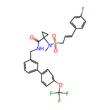 CN(C1(C(=O)NCc2cccc(-c3ccc(OC(F)(F)F)cc3)c2)CC1)S(=O)(=O)CC=Cc1ccc(F)cc1